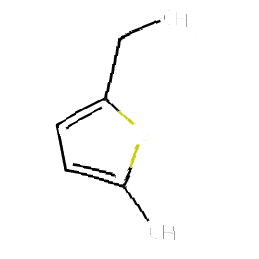 C[CH]c1ccc(C)s1